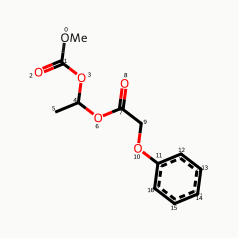 COC(=O)OC(C)OC(=O)COc1cc[c]cc1